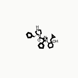 O=C(c1ncn([C@@H]2CCCC[C@@]2(O)CC2CC2)c1-c1ccccc1)N1CCNC[C@H]1Cc1ccccc1